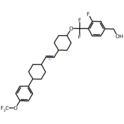 OCc1ccc(C(F)(F)OC2CCC(/C=C/C3CCC(c4ccc(OC(F)(F)F)cc4)CC3)CC2)c(F)c1